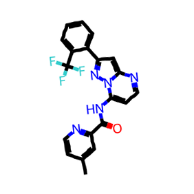 Cc1ccnc(C(=O)Nc2ccnc3cc(-c4ccccc4C(F)(F)F)nn23)c1